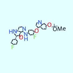 COC(C)(C)COc1ccc2c(Oc3ccc(Nc4nccc5[nH]cc(-c6ccc(F)cc6)c(=O)c45)cc3F)ccnc2c1